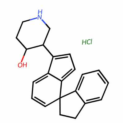 Cl.OC1CCNCC1C1=CC=C2C1=CC=CC21CCc2ccccc21